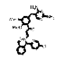 COc1cc(Cc2cnc(N)nc2N)cc(C(=O)/C=C/N2N=Cc3ccccc3C2c2ccc(Cl)cn2)c1OC